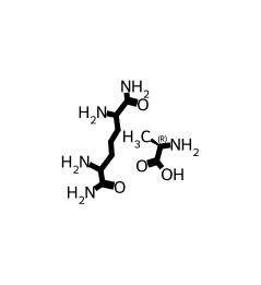 C[C@@H](N)C(=O)O.NC(=O)C(N)CCCC(N)C(N)=O